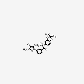 Cc1nn(-c2cccc(C(=O)N(C)c3ccc4c(c3)OC(C)(C)O4)c2)c(C)c1Cl